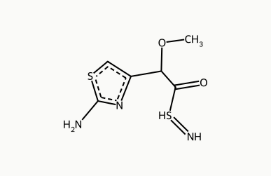 COC(C(=O)[SH]=N)c1csc(N)n1